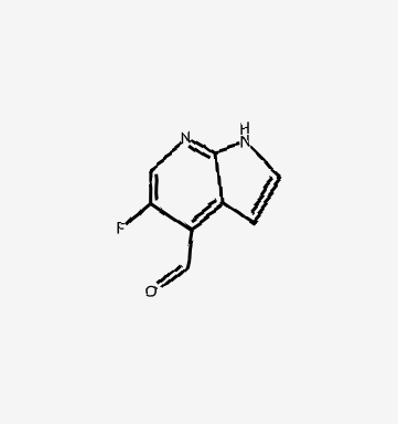 O=Cc1c(F)cnc2[nH]ccc12